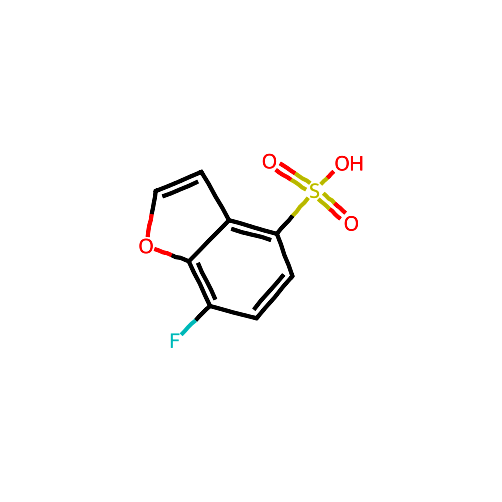 O=S(=O)(O)c1ccc(F)c2occc12